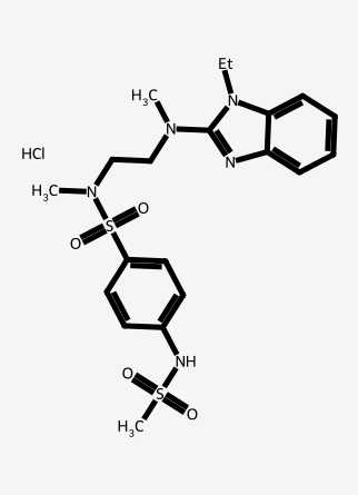 CCn1c(N(C)CCN(C)S(=O)(=O)c2ccc(NS(C)(=O)=O)cc2)nc2ccccc21.Cl